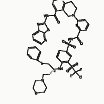 O=C(NS(=O)(=O)c1ccc(N[C@H](CCN2CCOCC2)CSc2ccccc2)c(S(=O)(=O)C(F)(F)Cl)c1)c1cccc(N2CCc3cccc(C(=O)Nc4nc5cccnc5s4)c3C2)n1